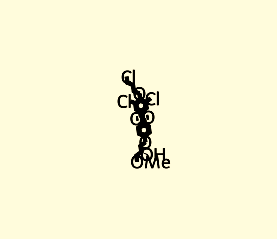 COC[C@@H](O)COc1ccc(S(=O)(=O)c2cc(Cl)c(OCCCCl)c(Cl)c2)cc1